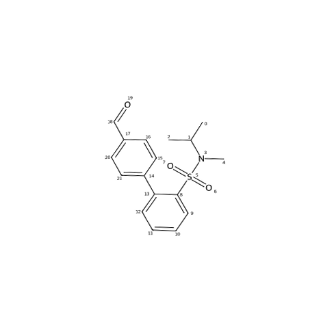 CC(C)N(C)S(=O)(=O)c1ccccc1-c1ccc(C=O)cc1